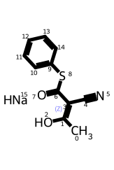 C/C(O)=C(\C#N)C(=O)Sc1ccccc1.[NaH]